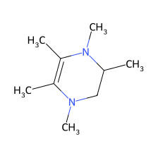 CC1=C(C)N(C)C(C)CN1C